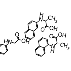 C[C@H](Nc1ccc2ccccc2c1)C(=O)O.C[C@H](Nc1cccc2ccccc12)C(=O)O.O=C(O)CNc1ccccc1